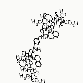 CC(C(=S)N[C@H]1CCS[C@H]2CC(C)(C)[C@@H](C(=O)N[C@H]3c4ccccc4CC[C@H]3C(=O)NCc3ccc(CNC(=O)[C@@H]4CCc5ccccc5[C@@H]4NC(=O)[C@H]4N5C(=O)[C@@H](NC(=S)C(C)N(C)C(=O)O)CCS[C@H]5CC4(C)C)cc3)N2C1=O)N(C)C(=O)O